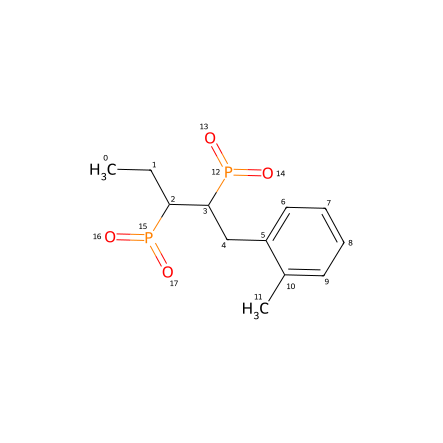 CCC(C(Cc1ccccc1C)P(=O)=O)P(=O)=O